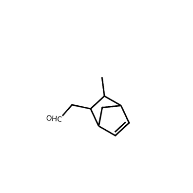 CC1C2C=CC(C2)C1CC=O